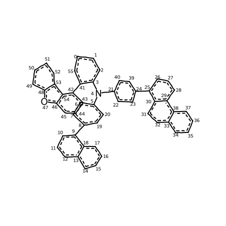 c1ccc(N(c2ccc(-c3cccc4ccccc34)cc2)c2ccc(-c3cccc4c3ccc3ccccc34)cc2)c(-c2cccc3oc4ccccc4c23)c1